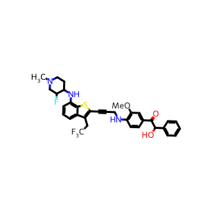 COc1cc(C(=O)C(O)c2ccccc2)ccc1NCC#Cc1sc2c(NC3CCN(C)CC3F)cccc2c1CC(F)(F)F